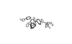 CCC(=C(C(=O)Nc1ccc(OCCN(C)C)cc1)c1cccc(O)c1)c1ccccc1